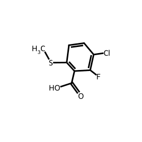 CSc1ccc(Cl)c(F)c1C(=O)O